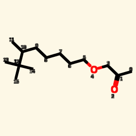 CC(=O)COCCCCCC(C)C(C)(C)C